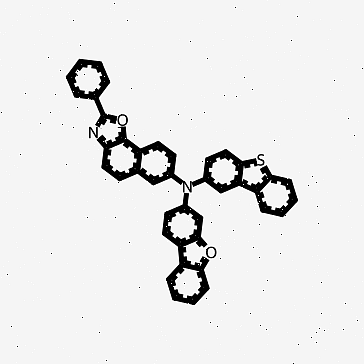 c1ccc(-c2nc3ccc4cc(N(c5ccc6c(c5)oc5ccccc56)c5ccc6sc7ccccc7c6c5)ccc4c3o2)cc1